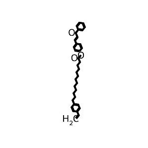 C=Cc1ccc(CCCCCCCCCCCCC(=O)Oc2ccc(C=CC(=O)c3ccccc3)cc2)cc1